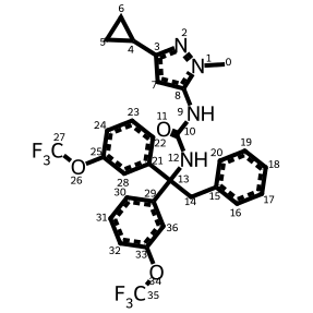 Cn1nc(C2CC2)cc1NC(=O)NC(Cc1ccccc1)(c1cccc(OC(F)(F)F)c1)c1cccc(OC(F)(F)F)c1